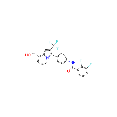 O=C(Nc1ccc(-c2c(C(F)(F)F)cc3c(CO)cccn23)cc1)c1cccc(F)c1F